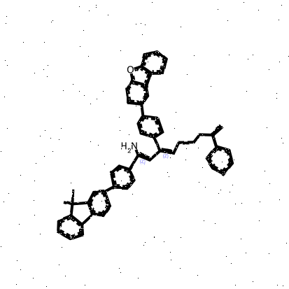 C=C(CCC/C=C(/C=C(\N)c1ccc(-c2ccc3c(c2)C(C)(C)c2ccccc2-3)cc1)c1ccc(-c2ccc3oc4ccccc4c3c2)cc1)c1ccccc1